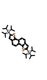 CC(C)[Si](c1cc2ccc3c(ccc4cc([Si](C(C)C)(C(C)C)C(C)C)sc43)c2s1)(C(C)C)C(C)C